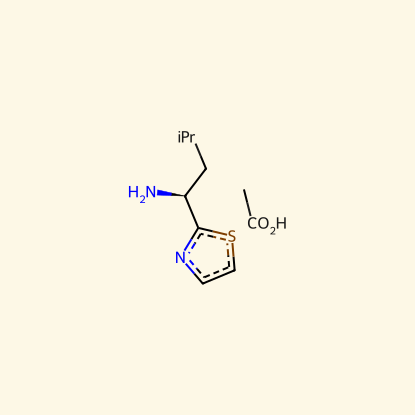 CC(=O)O.CC(C)C[C@H](N)c1nccs1